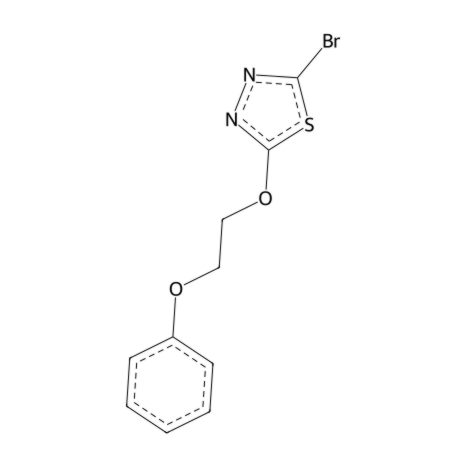 Brc1nnc(OCCOc2ccccc2)s1